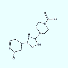 CC(C)C(=O)N1CCN(C2NOC(C3CC=NC(Cl)C3)N2)CC1